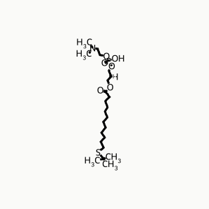 CN(C)CCOP(=O)(O)OC[C@H](I)COC(=O)CCCCCCCCCCCSC(C)(C)C